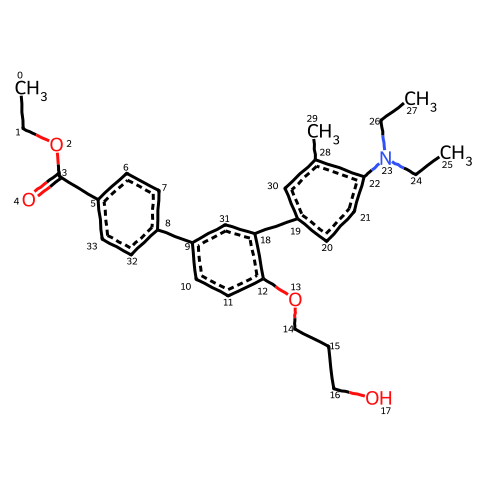 CCOC(=O)c1ccc(-c2ccc(OCCCO)c(-c3ccc(N(CC)CC)c(C)c3)c2)cc1